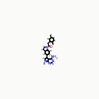 Cc1ccc(C)c(CC(=O)N2CCc3cc(-c4cn(C)c5ncnc(N)c45)ccc32)c1